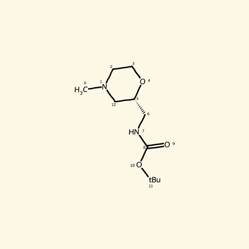 CN1CCO[C@H](CNC(=O)OC(C)(C)C)C1